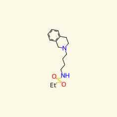 CCS(=O)(=O)NCCCCN1CCc2ccccc2C1